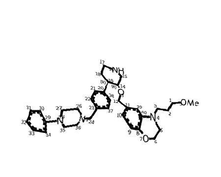 COCCCN1CCOc2ccc(CO[C@H]3CNCC[C@@H]3c3ccc(CN4CCN(c5ccccc5)CC4)cc3)cc21